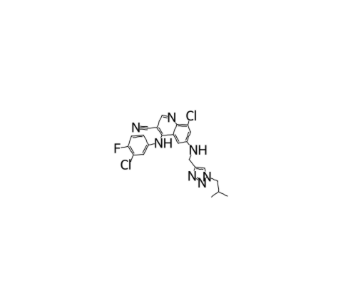 CC(C)Cn1cc(CNc2cc(Cl)c3ncc(C#N)c(Nc4ccc(F)c(Cl)c4)c3c2)nn1